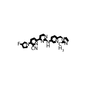 Cc1nccn1Cc1ccc(Nc2nccc(-c3ccc(N4CCC(F)C4)c(C#N)n3)n2)cn1